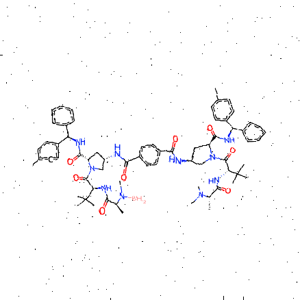 BN(C)[C@@H](C)C(=O)N[C@H](C(=O)N1C[C@@H](NC(=O)c2ccc(C(=O)N[C@H]3C[C@@H](C(=O)N[C@H](c4ccccc4)c4ccc(C)cc4)N(C(=O)[C@@H](NC(=O)[C@H](C)N(C)C)C(C)(C)C)C3)cc2)C[C@H]1C(=O)N[C@H](c1ccccc1)c1ccc(C)cc1)C(C)(C)C